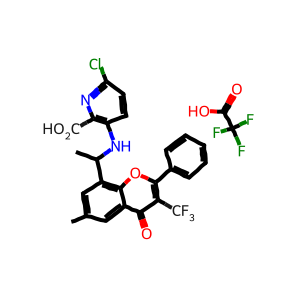 Cc1cc(C(C)Nc2ccc(Cl)nc2C(=O)O)c2oc(-c3ccccc3)c(C(F)(F)F)c(=O)c2c1.O=C(O)C(F)(F)F